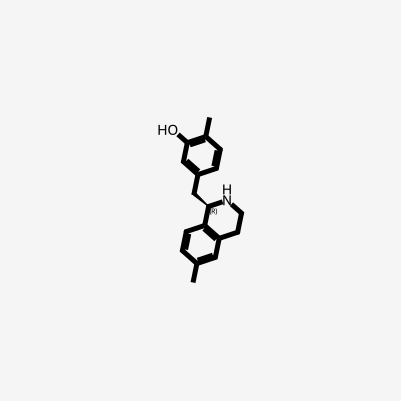 Cc1ccc2c(c1)CCN[C@@H]2Cc1ccc(C)c(O)c1